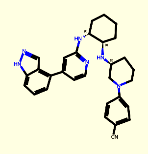 N#Cc1ccc(N2CCC[C@H](N[C@@H]3CCCC[C@H]3Nc3cc(-c4cccc5[nH]ncc45)ccn3)C2)cc1